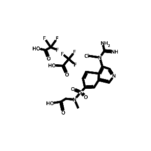 CN(CC(=O)O)S(=O)(=O)c1ccc2c(N(Cl)C(=N)N)cncc2c1.O=C(O)C(F)(F)F.O=C(O)C(F)(F)F